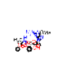 COc1nc(N)nc2c1ncn2C1OC(COP(N[C@@H](C)C(=O)OC2CCCC2)Oc2ccccc2)[C@@H](O)[C@]12CCO2